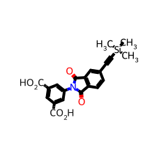 C[Si](C)(C)C#Cc1ccc2c(c1)C(=O)N(c1cc(C(=O)O)cc(C(=O)O)c1)C2=O